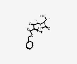 C[C@@H](O)[C@H]1C(=O)N[C@@H]1[C@@H](C)C(=O)C(=[N+]=[N-])C(=O)OCc1ccccc1